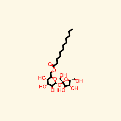 CCCCCCCCCCCC(=O)OCC1O[C@H](O[C@]2(CO)O[C@H](CO)[C@H](O)C2O)C(O)[C@H](O)[C@@H]1O